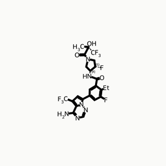 CCc1c(F)cc(-c2cc(C(F)(F)F)c3c(N)ncnn23)cc1C(=O)N[C@@H]1CN(C(=O)[C@@](C)(O)C(F)(F)F)C[C@@H]1F